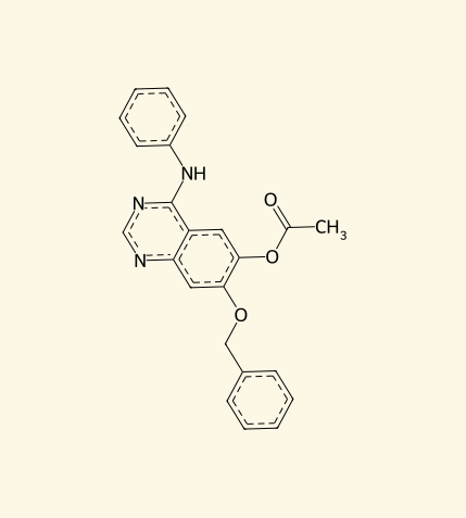 CC(=O)Oc1cc2c(Nc3ccccc3)ncnc2cc1OCc1ccccc1